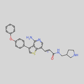 Nc1ncc(/C=C/C(=O)NCC2CCNC2)c2scc(-c3ccc(Oc4ccccc4)cc3)c12